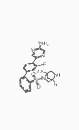 Nc1cnc(-c2ccc(-c3ccccc3S(=O)(=O)N3C[C@@H]4C[C@H]3CN4)cc2F)cn1